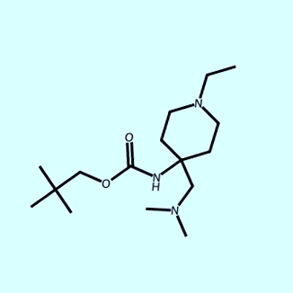 CCN1CCC(CN(C)C)(NC(=O)OCC(C)(C)C)CC1